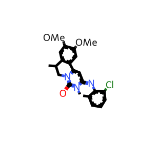 COc1cc2c(cc1OC)C(C)Cn1c-2c/c(=N/c2c(C)cccc2Cl)n(C)c1=O